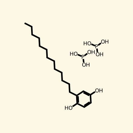 CCCCCCCCCCCCCc1cc(O)ccc1O.OP(O)O.OP(O)O